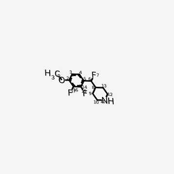 COc1ccc(C(F)C2CCNCC2)c(F)c1F